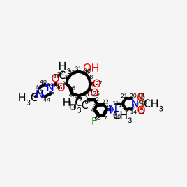 C/C(=C\c1cc(F)cc(N(C)CC2CCN(S(C)(=O)=O)CC2)c1)[C@H]1C(=O)C(=O)C[C@H](O)CC[C@H](C)[C@@H](OC(=O)N2CCN(C)CC2)/C=C/[C@@H]1C